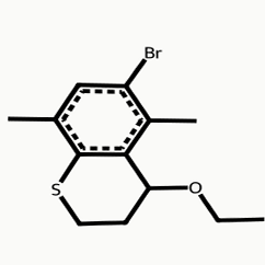 CCOC1CCSc2c(C)cc(Br)c(C)c21